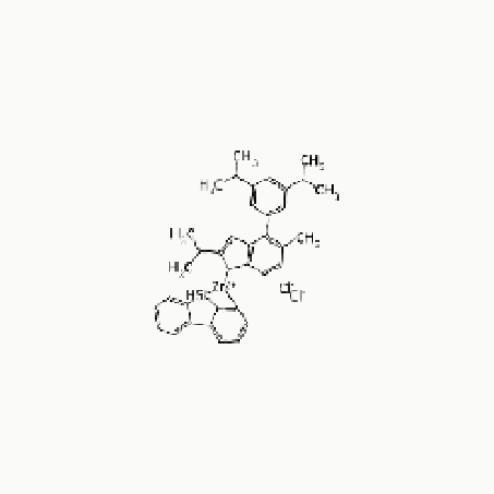 Cc1ccc2c(c1-c1cc(C(C)C)cc(C(C)C)c1)C=C(C(C)C)[CH]2[Zr+2]1[c]2cccc3c2[SiH]1c1ccccc1-3.[Cl-].[Cl-]